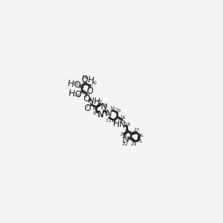 C[C@@H]1O[C@@H](ONC(=O)c2cnc(N3CCC(CNCc4cn(C)c5ccccc45)CC3)nc2)[C@@H](O)[C@H](O)[C@@H]1O